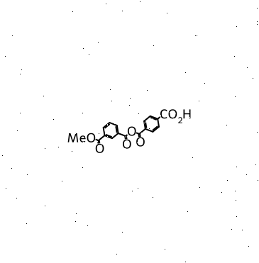 COC(=O)c1cccc(C(=O)OC(=O)c2ccc(C(=O)O)cc2)c1